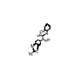 CCCN(C(=Nc1ccccc1)NC#N)c1ccc2nc(S)sc2c1